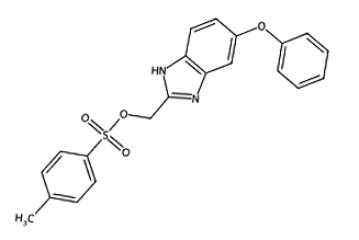 Cc1ccc(S(=O)(=O)OCc2nc3cc(Oc4ccccc4)ccc3[nH]2)cc1